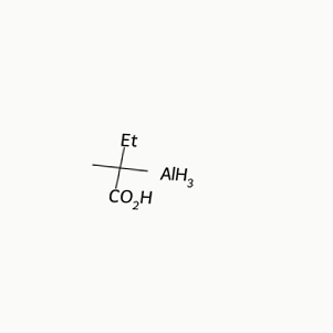 CCC(C)(C)C(=O)O.[AlH3]